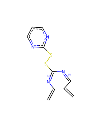 C=C/C=N\C(=N/C=C)SSc1ncccn1